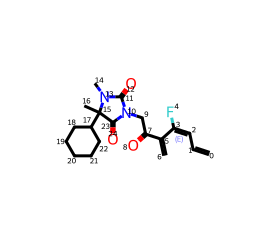 C=C/C=C(/F)C(=C)C(=O)CN1C(=O)N(C)C(C)(C2CCCCC2)C1=O